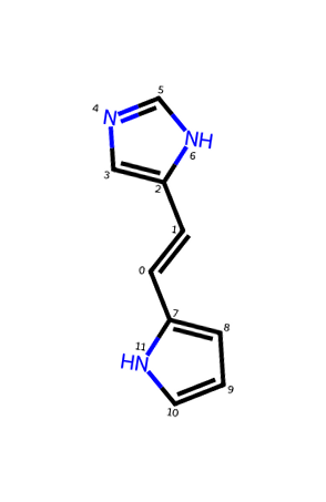 C(=C\c1cnc[nH]1)/c1ccc[nH]1